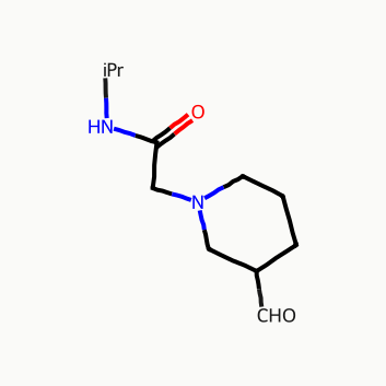 CC(C)NC(=O)CN1CCCC(C=O)C1